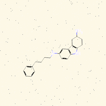 NC1CCc2[nH]c3ccc(N(C=O)CCCCc4ccccc4)cc3c2C1